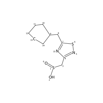 O=S(O)Cc1nsc(CC2CCCCC2)n1